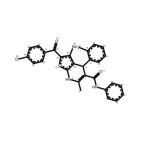 CC1=C(C(=O)Nc2ccccc2)C(c2ccccc2C)c2c(sc(C(=O)c3ccc(Cl)cc3)c2N)N1